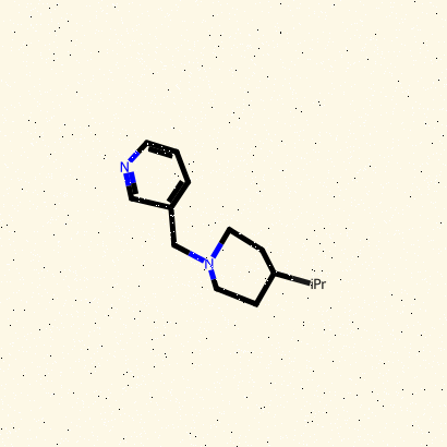 CC(C)C1CCN(Cc2cccnc2)CC1